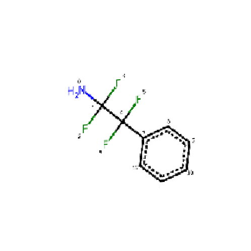 NC(F)(F)C(F)(F)c1ccccc1